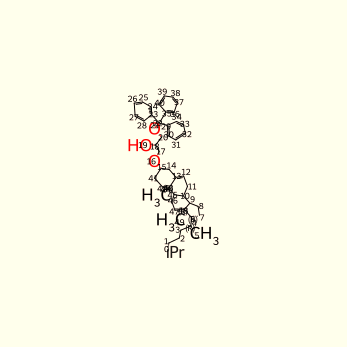 CC(C)CCC[C@@H](C)[C@H]1CCC2C3CC=C4CC(OCC(O)COC(c5ccccc5)(c5ccccc5)c5ccccc5)CC[C@]4(C)C3CC[C@@]21C